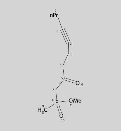 CCCC#CCCC(=O)CP(C)(=O)OC